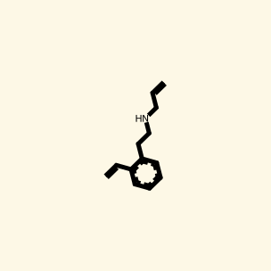 C=CCNCCc1ccccc1C=C